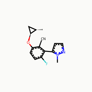 C[C@H]1C[C@@H]1Oc1ccc(F)c(-c2ccnn2C)c1C#N